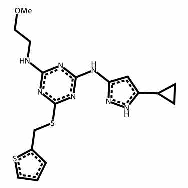 COCCNc1nc(Nc2cc(C3CC3)[nH]n2)nc(SCc2cccs2)n1